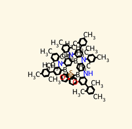 Cc1cc(C)c(-c2cc3c4c(c2)Oc2c(sc5ccccc25)B4c2cc4c(cc2N3)N(c2c(C)cc(C)cc2C)c2cc(-c3c(C)cc(C)cc3C)cc3c2B4c2cc4c(cc2N3c2c(C)cc(C)cc2C)N(c2c(C)cc(C)cc2C)c2cc(-c3c(C)cc(C)cc3C)cc3c2B4c2sc4ccccc4c2O3)c(C)c1